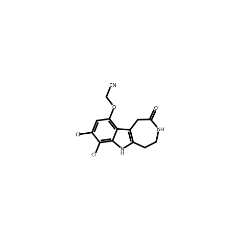 N#CCOc1cc(Cl)c(Cl)c2[nH]c3c(c12)CC(=O)NCC3